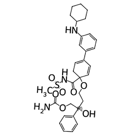 CS(=O)(=O)NC(=O)C1(OCC[C@](O)(COC(N)=O)c2ccccc2)C=CC(c2cccc(NC3CCCCC3)c2)=CC1